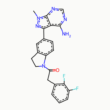 Cn1nc(-c2ccc3c(c2)CCN3C(=O)Cc2cccc(F)c2F)c2c(N)ncnc21